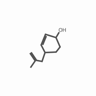 C=C(C)CC1C=CC(O)CC1